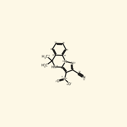 CC1(C)Nc2c([N+](=O)[O-])c(C#N)nn2-c2ccccc21